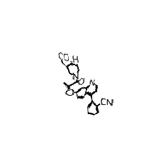 CC(Oc1ccc2c(-c3ccccc3C#N)ccnc2c1)C(=O)N1CCC[C@H](CC(=O)O)C1